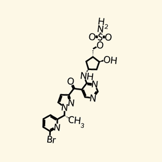 C[C@H](c1cccc(Br)n1)n1ccc(C(=O)c2cncnc2N[C@@H]2C[C@H](COS(N)(=O)=O)[C@@H](O)C2)n1